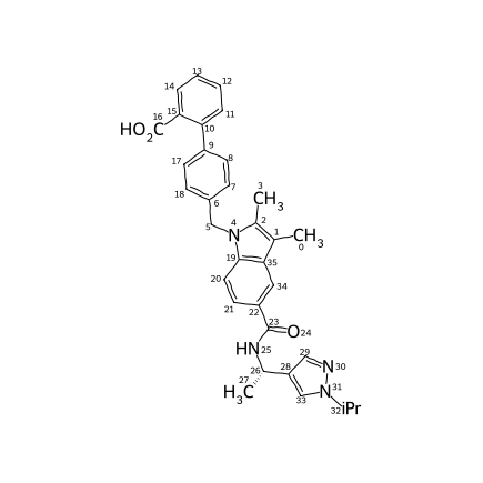 Cc1c(C)n(Cc2ccc(-c3ccccc3C(=O)O)cc2)c2ccc(C(=O)N[C@@H](C)c3cnn(C(C)C)c3)cc12